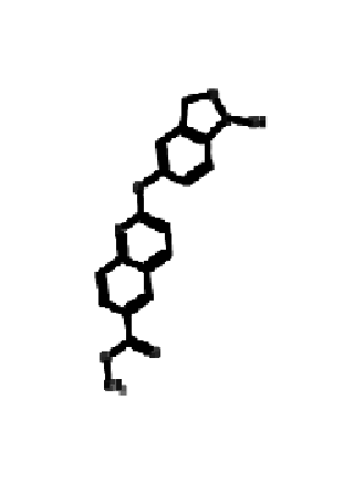 COC(=O)c1ccc2nc(Oc3ccc4c(c3)COB4O)ccc2c1